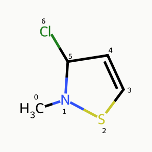 CN1SC=CC1Cl